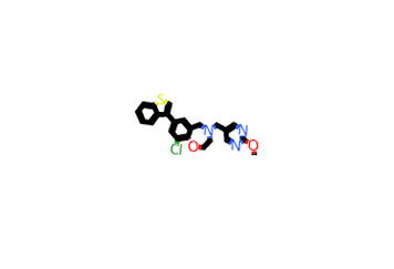 COc1ncc(CN2CCOc3c(Cl)cc(-c4csc5ccccc45)cc3C2)cn1